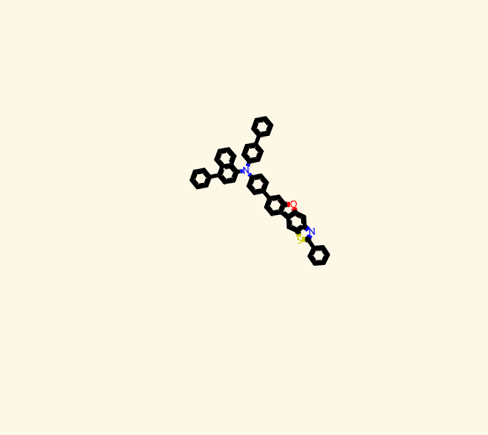 c1ccc(-c2ccc(N(c3ccc(-c4ccc5c(c4)oc4cc6nc(-c7ccccc7)sc6cc45)cc3)c3ccc(-c4ccccc4)c4ccccc34)cc2)cc1